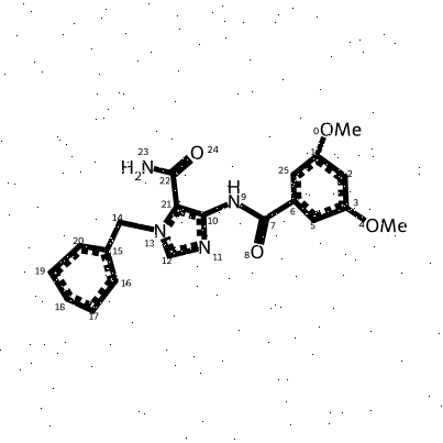 COc1cc(OC)cc(C(=O)Nc2ncn(Cc3ccccc3)c2C(N)=O)c1